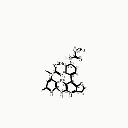 Cc1cc(N(C)C(=O)OC(C)(C)C)cc(Nc2nc3c(c(C4=CC[C@@H](NC(=O)OC(C)(C)C)CC4)c2F)OCC3)n1